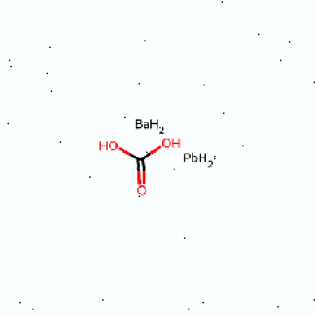 O=C(O)O.[BaH2].[PbH2]